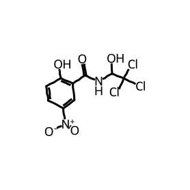 O=C(NC(O)C(Cl)(Cl)Cl)c1cc([N+](=O)[O-])ccc1O